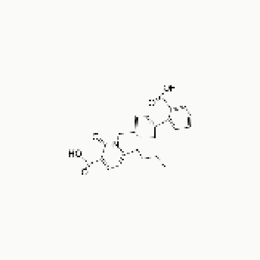 CCCCc1ccc(C(=O)O)c(=O)n1Cc1ccc(-c2ccccc2C(=O)O)cc1